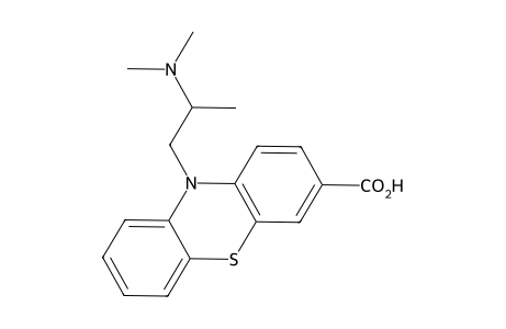 CC(CN1c2ccccc2Sc2cc(C(=O)O)ccc21)N(C)C